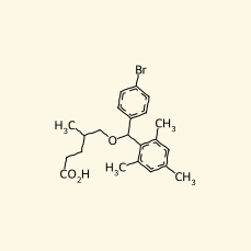 Cc1cc(C)c(C(OCC(C)CCC(=O)O)c2ccc(Br)cc2)c(C)c1